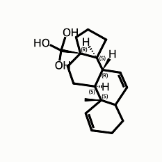 C[C@]12C=CCCC1C=C[C@H]1[C@@H]3CCC[C@@]3(C(O)(O)O)CC[C@@H]12